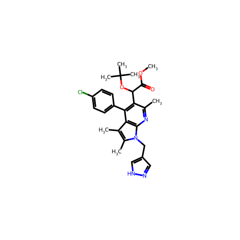 COC(=O)C(OC(C)(C)C)c1c(C)nc2c(c(C)c(C)n2Cc2cn[nH]c2)c1-c1ccc(Cl)cc1